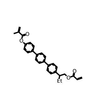 C=CC(=O)OCC(CC)c1ccc(-c2ccc(-c3ccc(OC(=O)C(=C)C)cc3)cc2)cc1